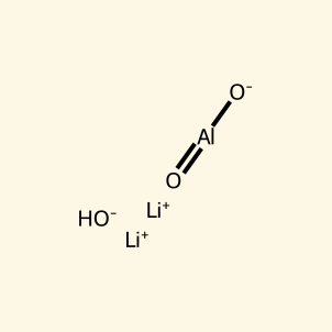 [Li+].[Li+].[OH-].[O]=[Al][O-]